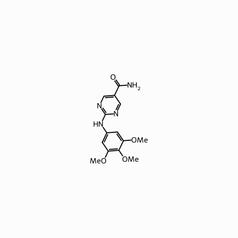 COc1cc(Nc2ncc(C(N)=O)cn2)cc(OC)c1OC